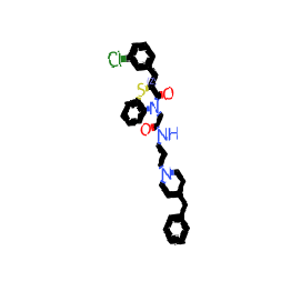 O=C(CN1C(=O)/C(=C/c2cccc(Cl)c2)Sc2ccccc21)NCCCN1CCC(Cc2ccccc2)CC1